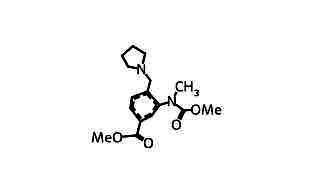 COC(=O)c1ccc(CN2CCCC2)c(N(C)C(=O)OC)c1